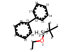 CCO[SiH2]C(C)(C)C.c1ccc(-c2ccccc2)cc1